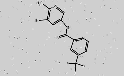 Cc1ncc(NC(=O)c2cc(C(F)(F)F)ccn2)cc1Br